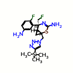 C[Si](C)(C)c1cn(C[C@@]23C[C@@H]2[C@@](CF)(c2cc(N)ccc2F)N=C(N)S3)nn1